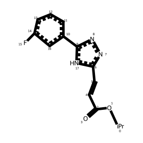 CC(C)OC(=O)C=Cc1nnc(-c2cccc(F)c2)[nH]1